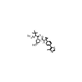 Cc1ncsc1-c1ccc(C2(NC(=O)[C@@H]3C[C@@H](O)CN3C(=O)C(N)C(C)(C)C)CC2)cc1